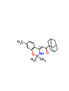 Cc1ccc2c(c1)OC(C)(C)N/C2=C\C(=O)C12CC3CC(CC(C3)C1)C2